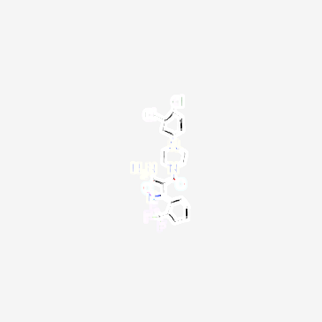 Nc1onc(-c2ccccc2C(F)(F)F)c1C(=O)N1CCN(c2ccc(Cl)c(Cl)c2)CC1